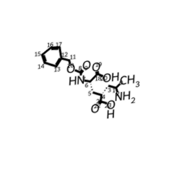 CC(N)C[C@@H](C[C@H](NC(=O)OCc1ccccc1)C(=O)O)C(=O)O